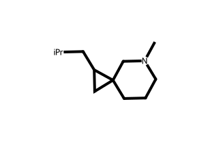 CC(C)CC1CC12CCCN(C)C2